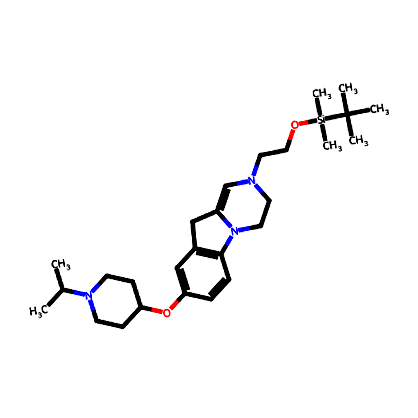 CC(C)N1CCC(Oc2ccc3c(c2)CC2=CN(CCO[Si](C)(C)C(C)(C)C)CCN23)CC1